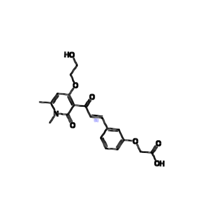 Cc1cc(OCCO)c(C(=O)/C=C/c2cccc(OCC(=O)O)c2)c(=O)n1C